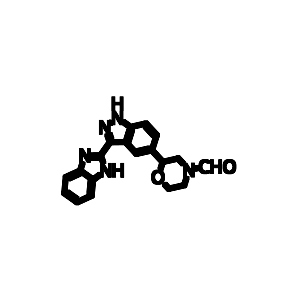 O=CN1CCOC(c2ccc3[nH]nc(-c4nc5ccccc5[nH]4)c3c2)C1